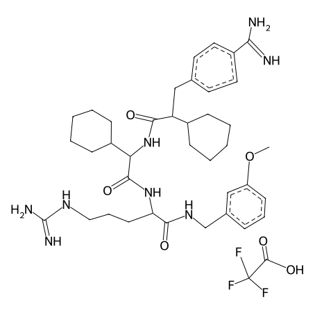 COc1cccc(CNC(=O)C(CCCNC(=N)N)NC(=O)C(NC(=O)C(Cc2ccc(C(=N)N)cc2)C2CCCCC2)C2CCCCC2)c1.O=C(O)C(F)(F)F